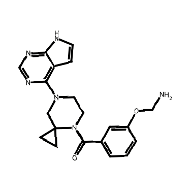 NCOc1cccc(C(=O)N2CCN(c3ncnc4[nH]ccc34)CC23CC3)c1